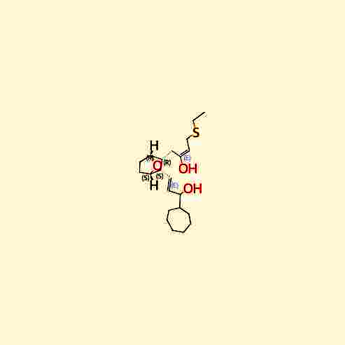 CCSC/C=C(/O)C[C@@H]1[C@H](/C=C/C(O)C2CCCCCC2)[C@@H]2CC[C@H]1O2